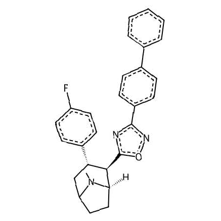 CN1C2CC[C@@H]1[C@H](c1nc(-c3ccc(-c4ccccc4)cc3)no1)[C@@H](c1ccc(F)cc1)C2